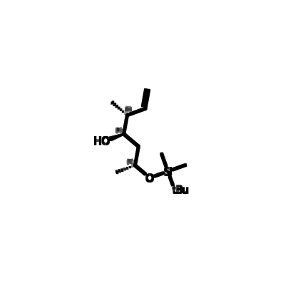 C=C[C@@H](C)[C@H](O)C[C@@H](C)O[Si](C)(C)C(C)(C)C